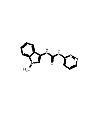 Cn1cc(NC(=O)Nc2cccnn2)c2ccccc21